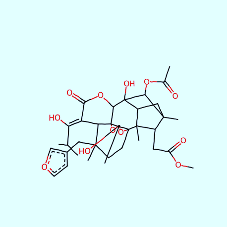 COC(=O)CC1C2(C)CC3C(O)(C2OC(C)=O)C2OC(=O)/C(=C(\O)C(C)C)C4C(C)(Cc5ccoc5)CCC5(OC(C)(O)OC425)C13C